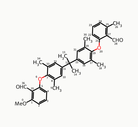 COc1cccc(Oc2c(C)cc(C(C)(C)c3cc(C)c(Oc4cccc(C)c4C=O)c(C)c3)cc2C)c1C=O